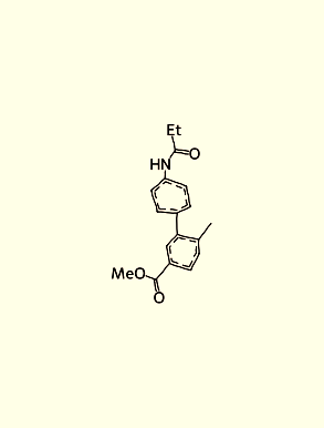 CCC(=O)Nc1ccc(-c2cc(C(=O)OC)ccc2C)cc1